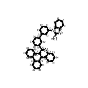 CCc1nc2ccccc2n1-c1cccc(-c2cccc(-c3nc4ccccc4c4c5ccccc5c5ccccc5c34)c2)c1